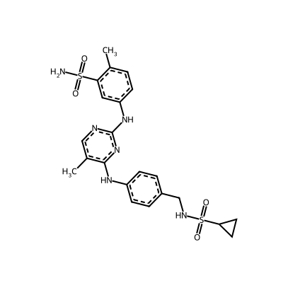 Cc1ccc(Nc2ncc(C)c(Nc3ccc(CNS(=O)(=O)C4CC4)cc3)n2)cc1S(N)(=O)=O